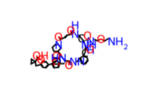 NCCOCCNC(=O)[C@@H]1CCNC(=O)/C=C/C(=O)N2CCC[C@](Cc3ccccc3)(C2)C(=O)N[C@@H](Cc2ccc(-c3ccc(CC4(C(=O)O)CC4)cc3)cc2)C(=O)NCc2ccccc2CC(=O)N1